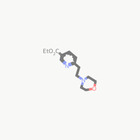 CCOC(=O)c1ccc(CCN2CCOCC2)nc1